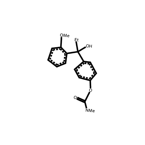 CCC(O)(c1ccc(OC(=O)NC)cc1)c1ccccc1OC